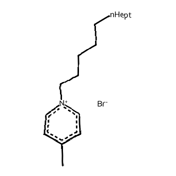 CCCCCCCCCCCC[n+]1ccc(C)cc1.[Br-]